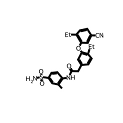 CCc1ccc(C#N)cc1Oc1cc(CC(=O)Nc2ccc(S(N)(=O)=O)cc2C)ccc1CC